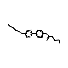 CCCCCOc1cnc(-c2ccc(OC(=O)CCCC)cc2)nc1